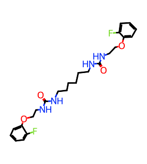 O=C(NCCCCCCNC(=O)NCCOc1ccccc1F)NCCOc1ccccc1F